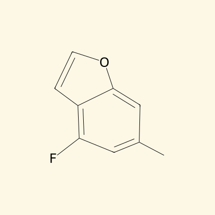 Cc1cc(F)c2ccoc2c1